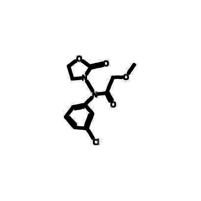 COCC(=O)N(c1cccc(Cl)c1)N1CCOC1=O